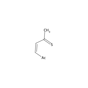 CC(=O)/C=C\C(C)=S